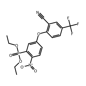 CCOP(=O)(OCC)c1cc(Oc2ccc(C(F)(F)F)cc2C#N)ccc1[N+](=O)[O-]